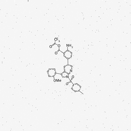 COc1ccccc1-c1cn(S(=O)(=O)c2ccc(C)cc2)c2ncc(-c3ccc(N)c(C(=O)OC(=O)C(F)(F)F)c3)cc12